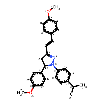 COc1ccc(C=CC2=NN(c3ccc(C(C)C)cc3)C(c3ccc(OC)cc3)C2)cc1